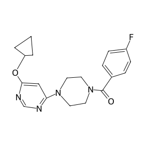 O=C(c1ccc(F)cc1)N1CCN(c2cc(OC3CCC3)ncn2)CC1